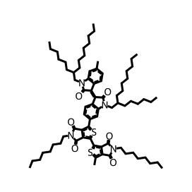 CCCCCCCCC(CCCCCC)CN1C(=O)/C(=C2/C(=O)N(CC(CCCCCC)CCCCCCCC)c3cc(-c4sc(-c5sc(C)c6c5C(=O)N(CCCCCCCC)C6=O)c5c4C(=O)N(CCCCCCCC)C5=O)ccc32)c2ccc(C)cc21